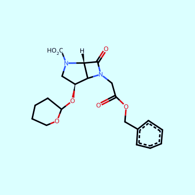 O=C(CN1C(=O)[C@@H]2C1[C@@H](OC1CCCCO1)CN2C(=O)O)OCc1ccccc1